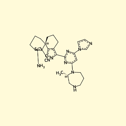 C[C@H]1CNCCCN1c1cc(-n2ccnc2)nc(-c2noc3c2CCC[C@@]32CCCc3sc(N)c(C#N)c32)n1